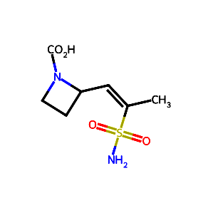 CC(=CC1CCN1C(=O)O)S(N)(=O)=O